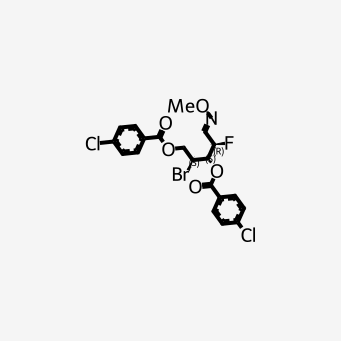 CON=C[C@@H](F)[C@H](OC(=O)c1ccc(Cl)cc1)[C@@H](Br)COC(=O)c1ccc(Cl)cc1